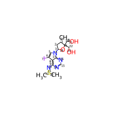 C[C@H]1C[C@H](n2cc(I)c3c(N=S(C)C)ncnc32)OC1(CO)CO